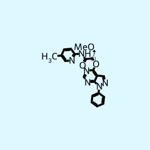 COC[C@H](Oc1ncnc2c1cnn2-c1ccccc1)C(=O)Nc1ccc(C)cn1